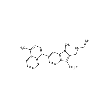 CCOC(=O)c1c(CNC=N)n(C)c2cc(-c3ccc(C)c4ccccc34)ccc12